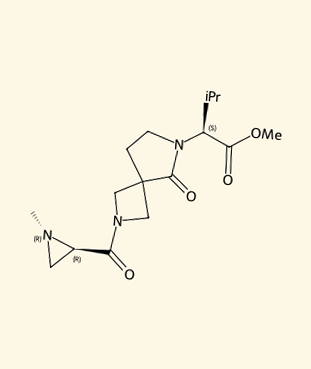 COC(=O)[C@H](C(C)C)N1CCC2(CN(C(=O)[C@H]3C[N@]3C)C2)C1=O